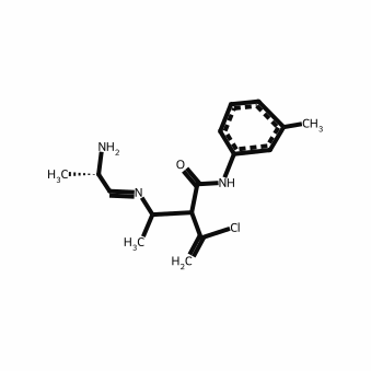 C=C(Cl)C(C(=O)Nc1cccc(C)c1)C(C)/N=C/[C@H](C)N